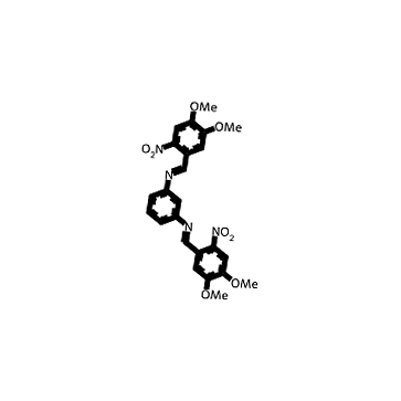 COc1cc(C=Nc2cccc(N=Cc3cc(OC)c(OC)cc3[N+](=O)[O-])c2)c([N+](=O)[O-])cc1OC